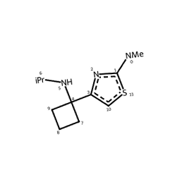 CNc1nc(C2(NC(C)C)CCC2)cs1